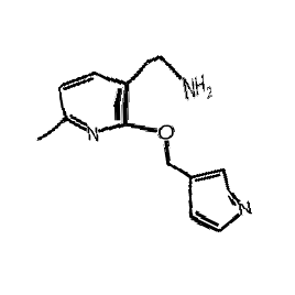 Cc1ccc(CN)c(OCc2ccncc2)n1